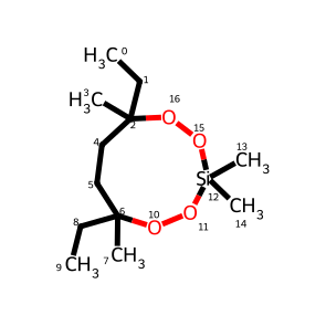 CCC1(C)CCC(C)(CC)OO[Si](C)(C)OO1